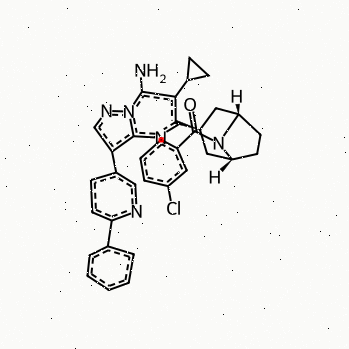 Nc1c(C2CC2)c([C@@H]2C[C@H]3CC[C@@H](C2)N3C(=O)c2cccc(Cl)c2)nc2c(-c3ccc(-c4ccccc4)nc3)cnn12